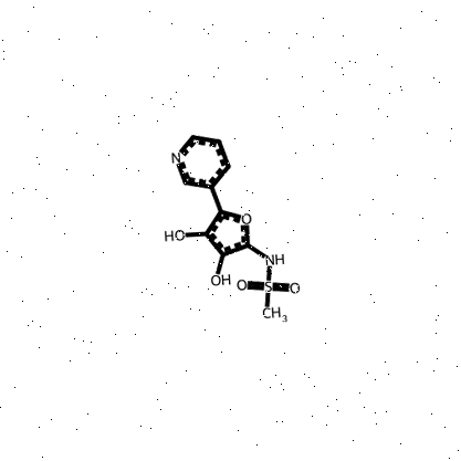 CS(=O)(=O)Nc1oc(-c2cccnc2)c(O)c1O